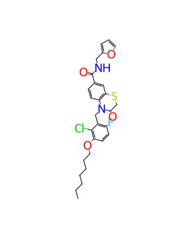 CCCCCCCOc1ccc(F)c(CN2C(=O)CSc3cc(C(=O)NCc4ccco4)ccc32)c1Cl